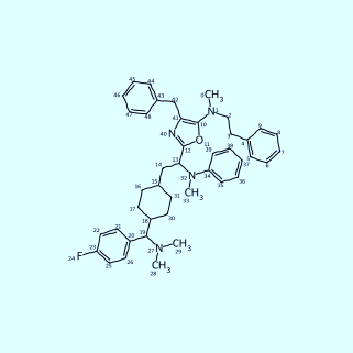 CN(CCc1ccccc1)c1oc(C(CC2CCC(C(c3ccc(F)cc3)N(C)C)CC2)N(C)c2ccccc2)nc1Cc1ccccc1